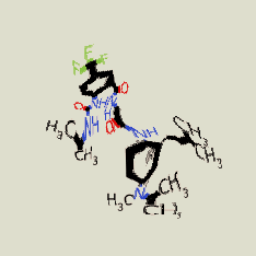 CC(C)CC[C@@H]1C[C@H](N(C)C(C)C)CC[C@@H]1NC(=O)CNC(=O)c1cc(C(F)(F)F)ccc1NC(=O)NC(C)C